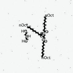 CCCCCCCC/C=C/CCCCCCCC(=O)OCC(COC(=O)CCCCCCC/C=C/CCCCCCCC)OC(=O)CCCCCCC/C=C/CCCCCCCC.OCCNCCO